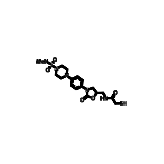 CNS(=O)(=O)N1CCN(c2ccc(N3CC(CNC(=O)CS)OC3=O)cc2)CC1